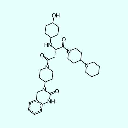 O=C(C[C@H](NC1CCC(O)CC1)C(=O)N1CCC(N2CCCCC2)CC1)N1CCC(N2Cc3ccccc3NC2=O)CC1